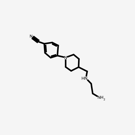 N#Cc1ccc(N2CCC(CNCCN)CC2)cc1